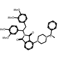 COc1ccc(CC(c2ccc(OC)c(OC)c2)N2C(=O)c3cccc(N4CCN([C@H](C)c5ccccc5)CC4)c3C2=O)cc1OC